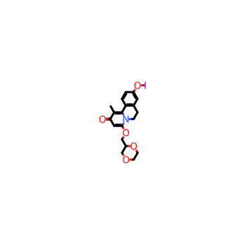 Cc1c2n(c(OCC3COCCO3)cc1=O)CCc1cc(OI)ccc1-2